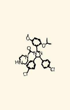 COc1ccc(OC(C)C)c(C2=NC(c3ccc(Cl)cc3)C(c3ccc(Cl)cc3)N2C(=O)N2CCNCC2)c1